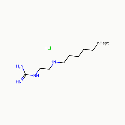 CCCCCCCCCCCCNCCNC(=N)N.Cl